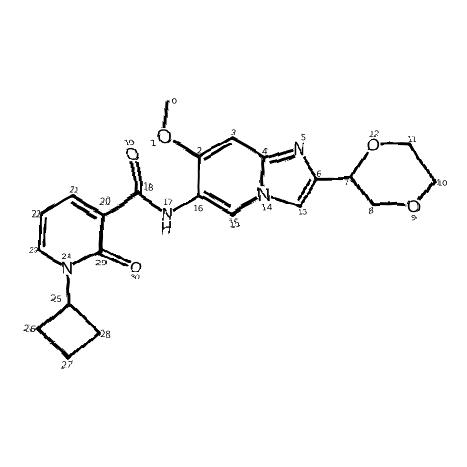 COc1cc2nc(C3COCCO3)cn2cc1NC(=O)c1cccn(C2CCC2)c1=O